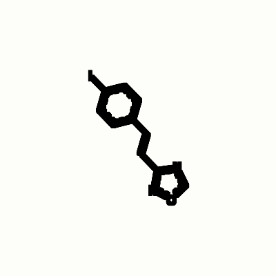 Ic1ccc(C=Cc2ncon2)cc1